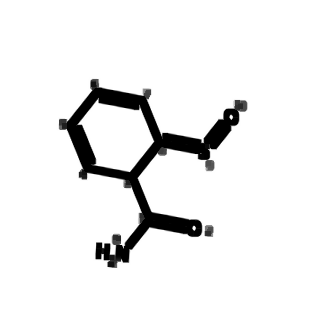 NC(=O)C1C=CC=CC1=S=O